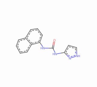 O=C(Nc1cc[nH]n1)Nc1cccc2ccccc12